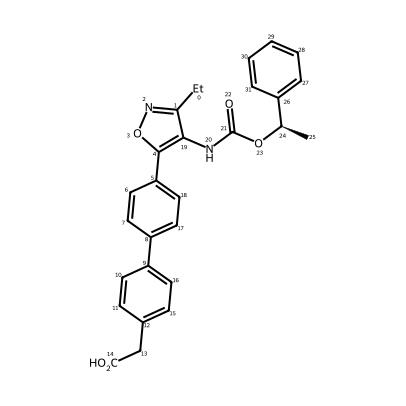 CCc1noc(-c2ccc(-c3ccc(CC(=O)O)cc3)cc2)c1NC(=O)O[C@H](C)c1ccccc1